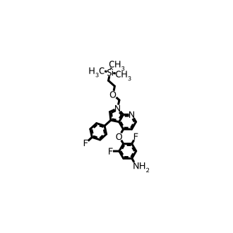 C[Si](C)(C)CCOCn1cc(-c2ccc(F)cc2)c2c(Oc3c(F)cc(N)cc3F)ccnc21